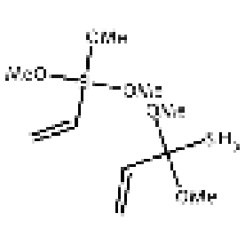 C=CC([SiH3])(OC)OC.C=C[Si](OC)(OC)OC